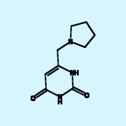 O=c1cc(CN2CCCC2)[nH]c(=O)[nH]1